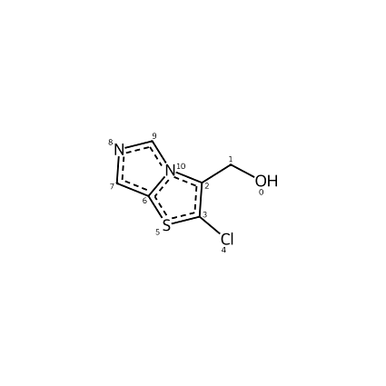 OCc1c(Cl)sc2cncn12